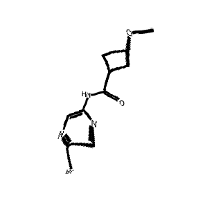 COC1CC(C(=O)Nc2cnc(Br)cn2)C1